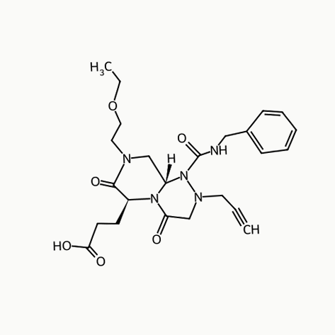 C#CCN1CC(=O)N2[C@@H](CCC(=O)O)C(=O)N(CCOCC)C[C@@H]2N1C(=O)NCc1ccccc1